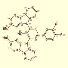 CC(C)(C)c1ccc2c3ccccc3n(-c3cc(-c4ccc(F)c(F)c4)cc(-n4c5ccccc5c5ccc(C(C)(C)C)cc54)c3C#N)c2c1